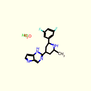 CC1CC(c2ncc3nccc-3[nH]2)CC(c2cc(F)cc(F)c2)N1.Cl.O